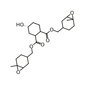 CC12CCC(COC(=O)C3CC[C@@H](O)CC3C(=O)OCC3CCC4(C)OC4C3)CC1O2